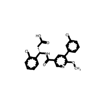 COc1ncc(C(=O)N[C@@H](CC(=O)O)c2ccccc2Cl)cc1-c1cccc(Cl)c1